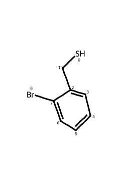 SCc1ccccc1Br